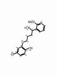 COc1ncccc1C(N)CCCOc1cc(Cl)ccc1C#N